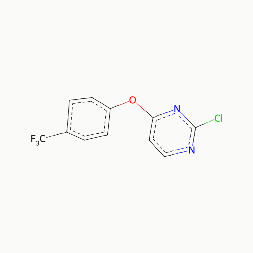 FC(F)(F)c1ccc(Oc2ccnc(Cl)n2)cc1